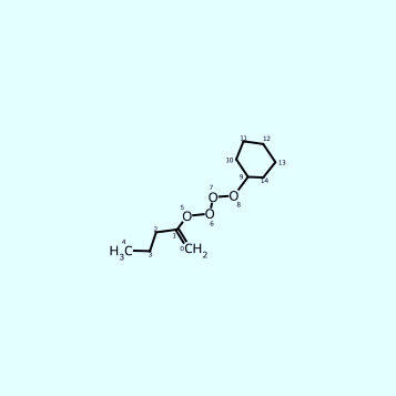 C=C(CCC)OOOOC1CCCCC1